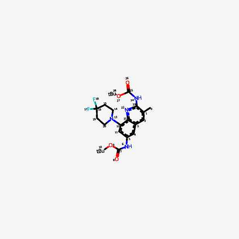 Cc1cc2cc(NC(=O)OC(C)(C)C)cc(N3CCC(F)(F)CC3)c2nc1NC(=O)OC(C)(C)C